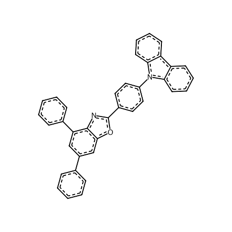 c1ccc(-c2cc(-c3ccccc3)c3nc(-c4ccc(-n5c6ccccc6c6ccccc65)cc4)oc3c2)cc1